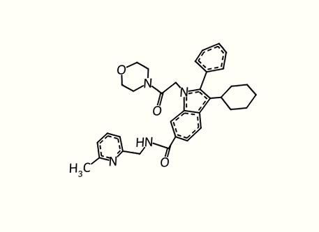 Cc1cccc(CNC(=O)c2ccc3c(C4CCCCC4)c(-c4ccccc4)n(CC(=O)N4CCOCC4)c3c2)n1